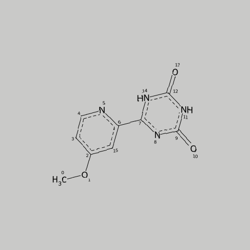 COc1ccnc(-c2nc(=O)[nH]c(=O)[nH]2)c1